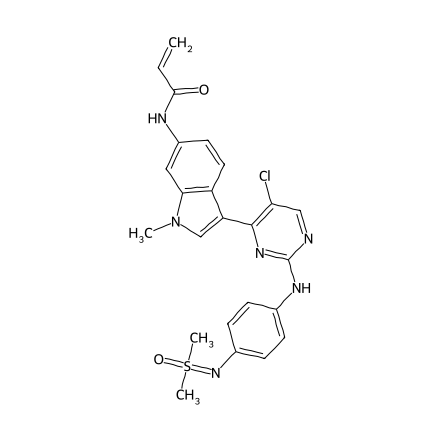 C=CC(=O)Nc1ccc2c(-c3nc(Nc4ccc(N=S(C)(C)=O)cc4)ncc3Cl)cn(C)c2c1